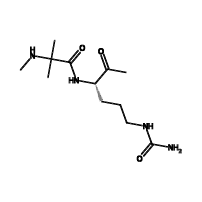 CNC(C)(C)C(=O)N[C@@H](CCCNC(N)=O)C(C)=O